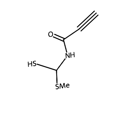 C#CC(=O)NC(S)SC